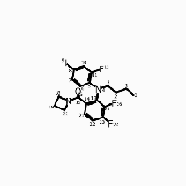 CCCCN(c1ccc(I)cc1F)c1c(C(=O)N2CCC2)ccc(F)c1F